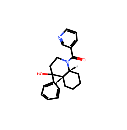 O=C(c1cccnc1)N1CCC(O)(c2ccccc2)[C@H]2CCCC[C@H]21